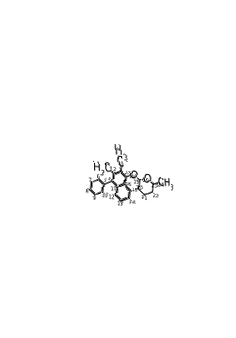 Cc1c(C)c(-c2ccccc2)c2ccccc2c1OC1CCCC(C)O1